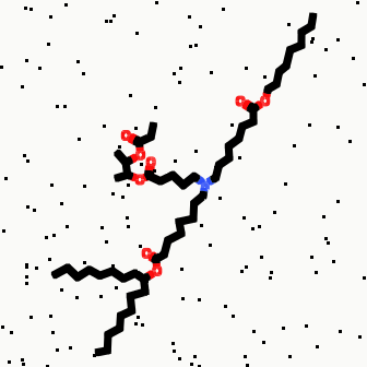 CCCCCCCCCOC(=O)CCCCCCCN(CCCCCCCC(=O)OC(CCCCCCCC)CCCCCCCC)CCCCC(=O)OC(C)C(C)OC(=O)CC